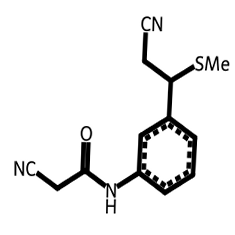 CSC(CC#N)c1cccc(NC(=O)CC#N)c1